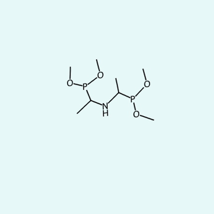 COP(OC)C(C)NC(C)P(OC)OC